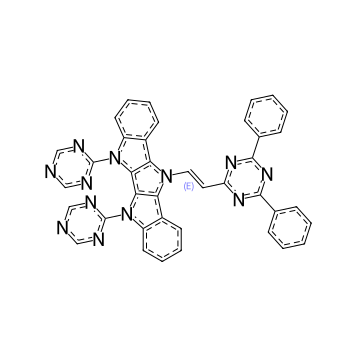 C(=C\n1c2c3ccccc3n(-c3ncncn3)c2c2c1c1ccccc1n2-c1ncncn1)/c1nc(-c2ccccc2)nc(-c2ccccc2)n1